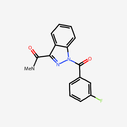 CNC(=O)c1nn(C(=O)c2cccc(F)c2)c2ccccc12